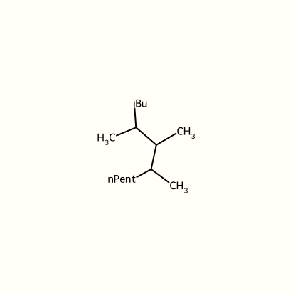 [CH2]CCCCC(C)C(C)C(C)C(C)CC